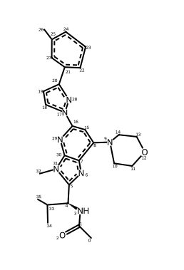 CC(=O)N[C@H](c1nc2c(N3CCOCC3)cc(-n3ccc(-c4cccc(C)c4)n3)nc2n1C)C(C)C